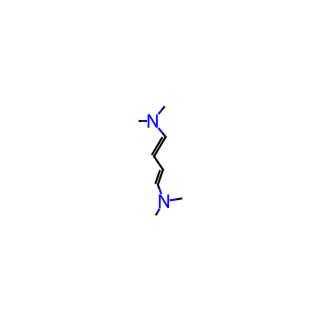 CN(C)C=CC=CN(C)C